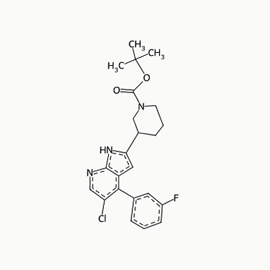 CC(C)(C)OC(=O)N1CCCC(c2cc3c(-c4cccc(F)c4)c(Cl)cnc3[nH]2)C1